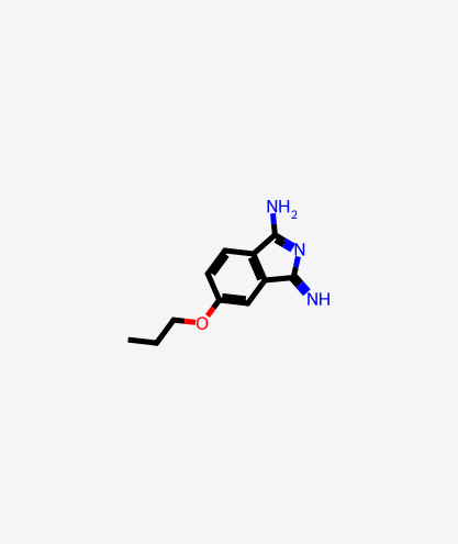 CCCOc1ccc2c(c1)C(=N)N=C2N